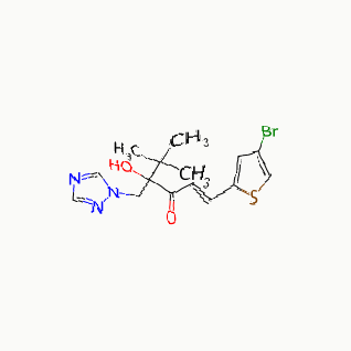 CC(C)(C)C(O)(Cn1cncn1)C(=O)/C=C/c1cc(Br)cs1